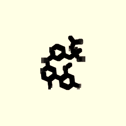 COc1cc(F)ccc1-c1cc(Nc2cc(C[SH](C)(O)=NC(C)=O)ccn2)ncc1F